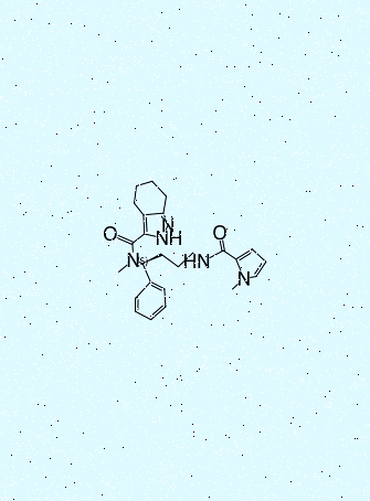 CN(C(=O)c1[nH]nc2c1CCCC2)[C@@H](CCCNC(=O)c1cccn1C)c1ccccc1